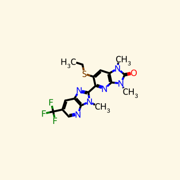 CCSc1cc2c(nc1-c1nc3cc(C(F)(F)F)cnc3n1C)n(C)c(=O)n2C